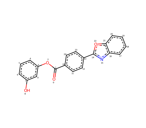 O=C(Oc1cccc(O)c1)c1ccc(-c2nc3ccccc3o2)cc1